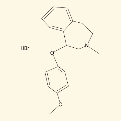 Br.COc1ccc(OC2CN(C)CCc3ccccc32)cc1